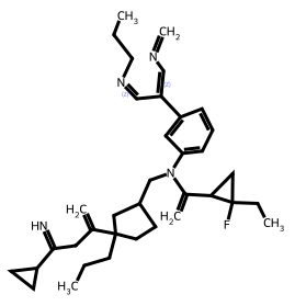 C=N/C=C(\C=N/CCC)c1cccc(N(CC2CCC(CCC)(C(=C)CC(=N)C3CC3)C2)C(=C)C2CC2(F)CC)c1